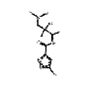 CCc1cc(C(=O)NC(C)C(C)(CC)CN(CC)CC)no1